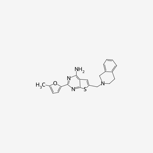 Cc1ccc(-c2nc(N)c3cc(CN4CCc5ccccc5C4)sc3n2)o1